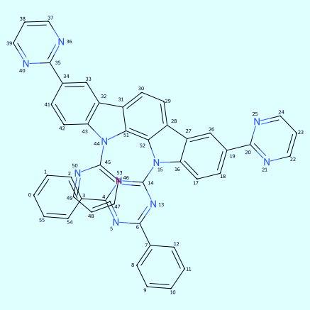 c1ccc(-c2nc(-c3ccccc3)nc(-n3c4ccc(-c5ncccn5)cc4c4ccc5c6cc(-c7ncccn7)ccc6n(-c6ccccn6)c5c43)n2)cc1